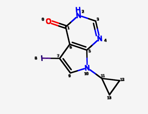 O=c1[nH]cnc2c1c(I)cn2C1CC1